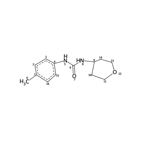 Cc1ccc(NC(=O)NC2CCOCC2)cc1